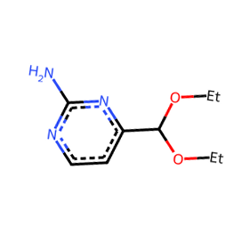 CCOC(OCC)c1ccnc(N)n1